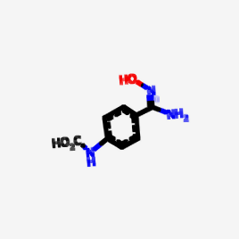 N/C(=N/O)c1ccc(NC(=O)O)cc1